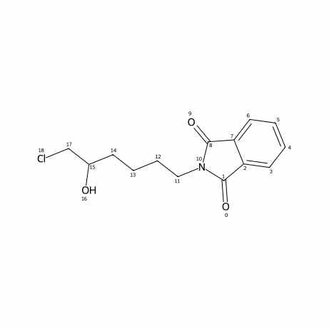 O=C1c2ccccc2C(=O)N1CCCCC(O)CCl